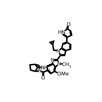 COc1cc(C(=O)N2CC3CCC2C3N)cc2nc(-c3cc4ccc(-c5ccc(=O)[nH]c5)cc4n3CC3CC3)n(C)c12